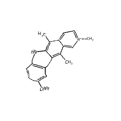 COc1ccc2[nH]c3c(C)c4cc[n+](C)cc4c(C)c3c2c1